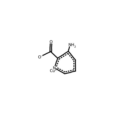 Nc1cccnc1C(=O)[O-].[Cu+]